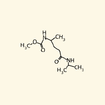 COC(=O)NC(C)CCC(=O)NC(C)C